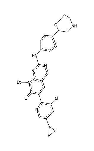 CCn1c(=O)c(-c2ncc(C3CC3)cc2Cl)cc2cnc(Nc3ccc(C4CNCCO4)cc3)nc21